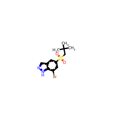 CC(C)(C)CS(=O)(=O)c1cc(Br)c2[nH]ncc2c1